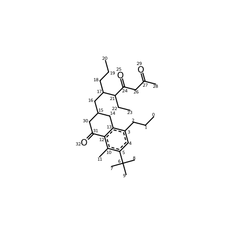 CCCc1cc(C(C)(C)C)c(C)c2c1CC(CC(CCC)C(CC)C(=O)CC(C)=O)CC2=O